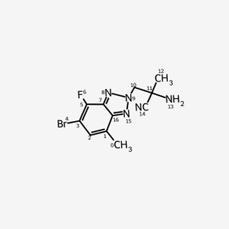 Cc1cc(Br)c(F)c2nn(CC(C)(N)C#N)nc12